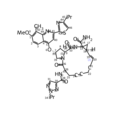 COc1ccc2c(O[C@@H]3C[C@H]4C(=O)N[C@]5(C(N)=O)C[C@H]5/C=C\CCCCC[C@H](NC(=O)c5cnn(C(C)C)n5)C(=O)N4C3)cc(-c3nc(C(C)C)cs3)nc2c1C